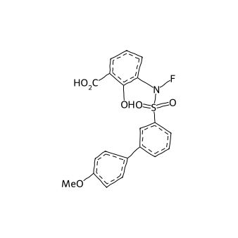 COc1ccc(-c2cccc(S(=O)(=O)N(F)c3cccc(C(=O)O)c3O)c2)cc1